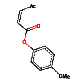 COc1ccc(OC(=O)/C=C\C(C)=O)cc1